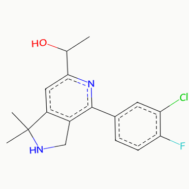 CC(O)c1cc2c(c(-c3ccc(F)c(Cl)c3)n1)CNC2(C)C